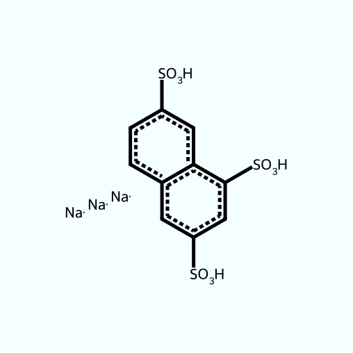 O=S(=O)(O)c1cc(S(=O)(=O)O)c2cc(S(=O)(=O)O)ccc2c1.[Na].[Na].[Na]